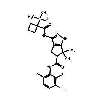 Cc1ccc(F)c(NC(=O)N2Cc3c(NC(=O)C4([Si](C)(C)C)CCC4)n[nH]c3C2(C)C)c1F